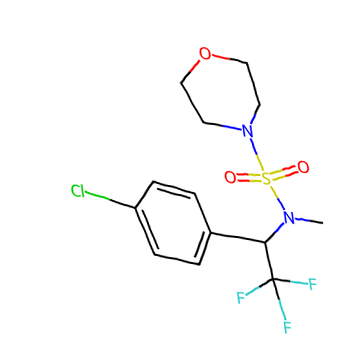 CN(C(c1ccc(Cl)cc1)C(F)(F)F)S(=O)(=O)N1CCOCC1